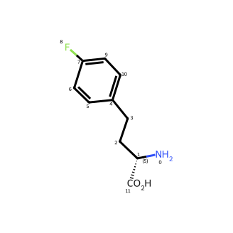 N[C@@H](CCc1ccc(F)cc1)C(=O)O